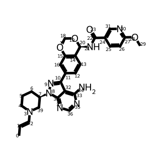 CC=CN1CCC[C@@H](n2nc(-c3ccc4c(c3)OCO[C@H]4NC(=O)c3ccc(OC)nc3)c3c(N)ncnc32)C1